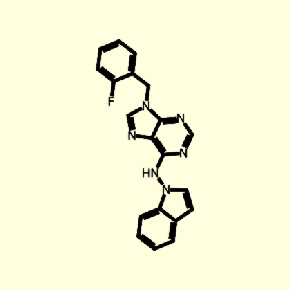 Fc1ccccc1Cn1cnc2c(Nn3ccc4ccccc43)ncnc21